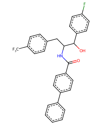 O=C(NC(Cc1ccc(C(F)(F)F)cc1)C(O)c1ccc(F)cc1)c1ccc(-c2ccccc2)cc1